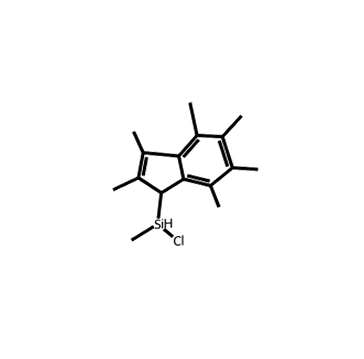 CC1=C(C)C([SiH](C)Cl)c2c(C)c(C)c(C)c(C)c21